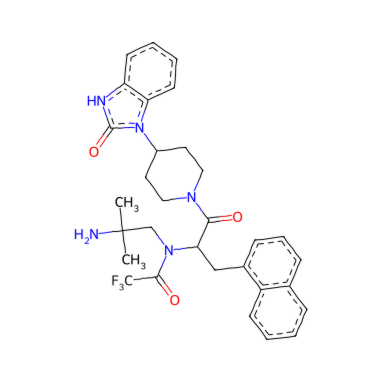 CC(C)(N)CN(C(=O)C(F)(F)F)C(Cc1cccc2ccccc12)C(=O)N1CCC(n2c(=O)[nH]c3ccccc32)CC1